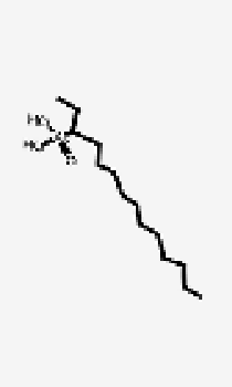 CCCCCCCCCCCC(CC)[As](=O)(O)O